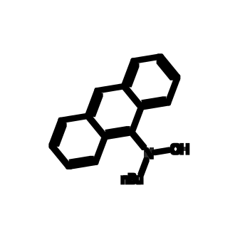 [CH2]CCCN(O)c1c2ccccc2cc2ccccc12